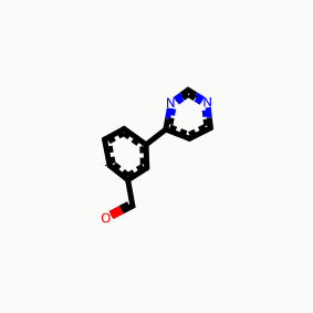 O=Cc1[c]ccc(-c2ccncn2)c1